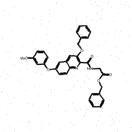 COc1cccc(Oc2ccc3nc(C(=O)NCC(=O)OCc4ccccc4)c(OCc4ccccc4)cc3c2)c1